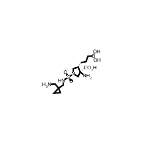 NCC1(CNS(=O)(=O)N2C[C@H](CCCB(O)O)[C@](N)(C(=O)O)C2)CC1